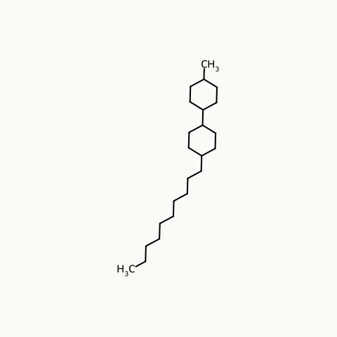 CCCCCCCCCCC1CCC(C2CCC(C)CC2)CC1